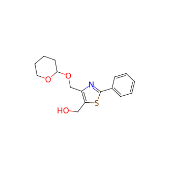 OCc1sc(-c2ccccc2)nc1COC1CCCCO1